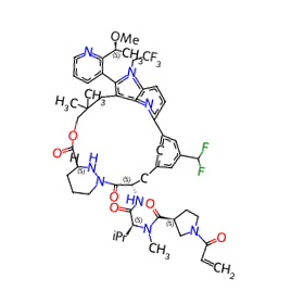 C=CC(=O)N1CC[C@H](C(=O)N(C)[C@H](C(=O)N[C@H]2Cc3cc(cc(C(F)F)c3)-c3ccc4c(n3)c(c(-c3cccnc3[C@H](C)OC)n4CC(F)(F)F)CC(C)(C)COC(=O)[C@@H]3CCCN(N3)C2=O)C(C)C)C1